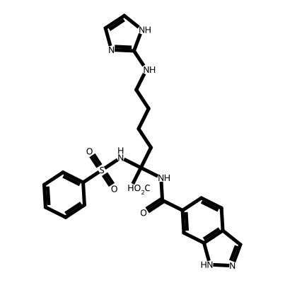 O=C(NC(CCCCNc1ncc[nH]1)(NS(=O)(=O)c1ccccc1)C(=O)O)c1ccc2cn[nH]c2c1